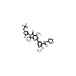 COc1ncc(-c2cc(C)c3c(n2)C(C)(C)N(c2cnn(CC(F)(F)F)c2)C3=O)cc1C(=O)NC1CCOC1